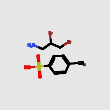 Cc1ccc(S(=O)(=O)O)cc1.NCC(Br)CBr